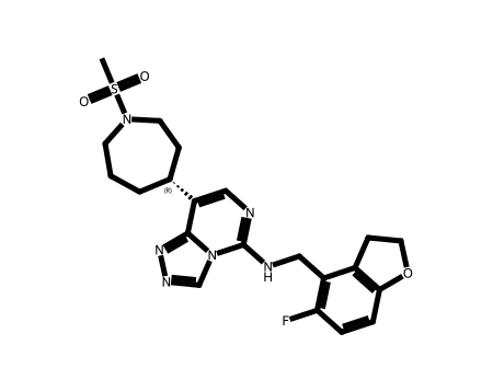 CS(=O)(=O)N1CCC[C@@H](c2cnc(NCc3c(F)ccc4c3CCO4)n3cnnc23)CC1